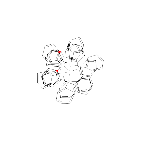 c1ccc([PH](c2ccccc2)(c2ccccc2)[Pd]([PH](c2ccccc2)(c2ccccc2)c2ccccc2)([PH](c2ccccc2)(c2ccccc2)c2ccccc2)([PH](c2ccccc2)(c2ccccc2)c2ccccc2)[PH](c2ccccc2)(c2ccccc2)c2ccccc2)cc1